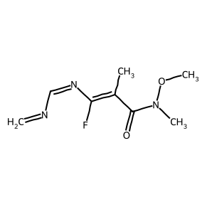 C=N/C=N\C(F)=C(/C)C(=O)N(C)OC